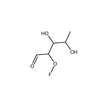 CC(O)C(O)C(C=O)OF